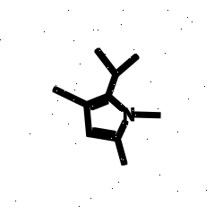 Cc1cc(C)n(C)c1C(C)C